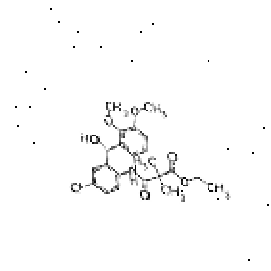 CCOC(=O)C(C)(C)C(=O)Nc1ccc(Cl)cc1[C@H](O)c1cccc(OC)c1OC